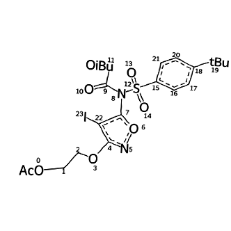 CC(=O)OCCOc1noc(N(C(=O)OCC(C)C)S(=O)(=O)c2ccc(C(C)(C)C)cc2)c1I